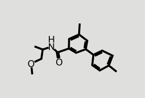 COCC(C)NC(=O)c1cc(C)cc(-c2ccc(C)cc2)c1